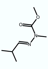 COC(=O)N(C)/N=C/C(C)C